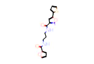 O=C(NCCCNC(=O)c1ccco1)c1cc(-c2cccs2)on1